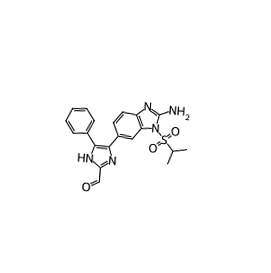 CC(C)S(=O)(=O)n1c(N)nc2ccc(-c3nc(C=O)[nH]c3-c3ccccc3)cc21